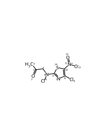 CC(=O)CN(Cl)c1nc(Cl)c([N+](=O)[O-])s1